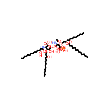 CCCCCCCCCCCCCC(=O)O[C@H](CCCCCCCCCCC)CCO[C@H]1[C@H](OP(=O)(O)O)[C@@H](CO)OC(OC[C@H]2O[C@H](C(=O)O)[C@H](NC(=O)C[C@H](O)CCCCCCCCCCC)[C@@H](OCC[C@H](O)CCCCCCCCCCC)[C@@H]2O)[C@@H]1NC(C)=O